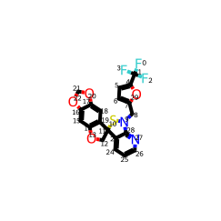 FC(F)(F)c1ccc(CN2SC3(COc4cc5c(cc43)OCO5)c3cccnc32)o1